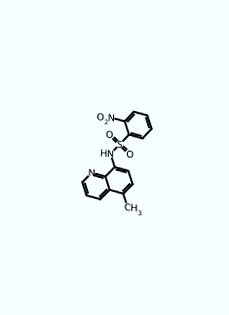 Cc1ccc(NS(=O)(=O)c2ccccc2[N+](=O)[O-])c2ncccc12